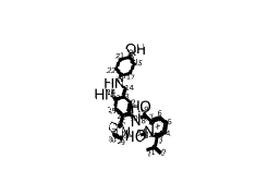 CC(C)c1cccc(C(=O)NC2=C/C(=C/N[C@H]3CC[C@H](O)CC3)C(=N)C=C2c2ncco2)[n+]1O